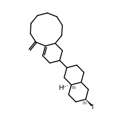 C=C1CCCCCCCC2CC(C3CCC4C[C@@H](I)CC[C@H]4C3)CC=C12